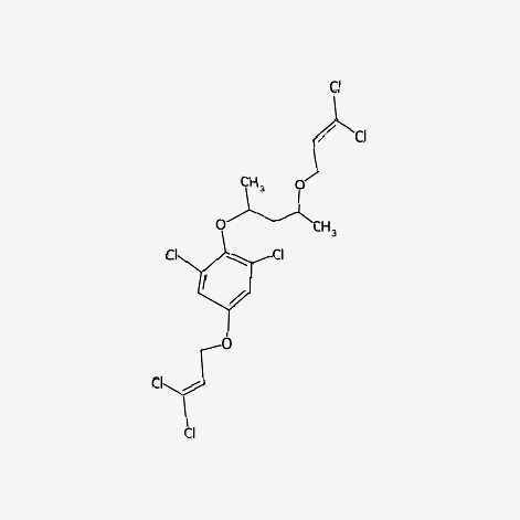 CC(CC(C)Oc1c(Cl)cc(OCC=C(Cl)Cl)cc1Cl)OCC=C(Cl)Cl